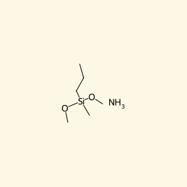 CCC[Si](C)(OC)OC.N